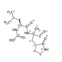 CC(C)C[C@H](NC(=O)O)C(=O)NC(C)(C=O)CC1CCNC1=O